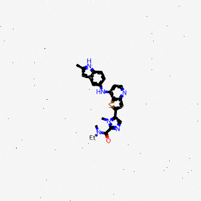 CCN(C)C(=O)c1ncc(-c2cc3nccc(Nc4ccc5[nH]c(C)cc5c4)c3s2)n1C